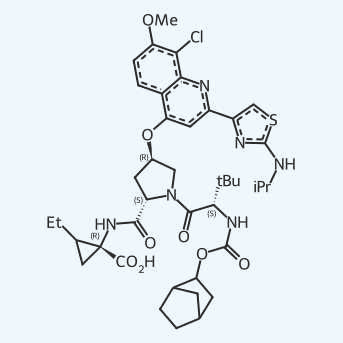 CCC1C[C@]1(NC(=O)[C@@H]1C[C@@H](Oc2cc(-c3csc(NC(C)C)n3)nc3c(Cl)c(OC)ccc23)CN1C(=O)[C@@H](NC(=O)OC1CC2CCC1C2)C(C)(C)C)C(=O)O